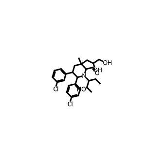 CCC(C(C)O)N1C(c2ccc(Cl)cc2)C(c2cccc(Cl)c2)CC(C)(CC(O)CO)C1C=O